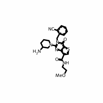 COCCNC(=O)c1csc2c(=O)n(Cc3ccccc3C#N)c(N3CCCC(N)C3)nc12